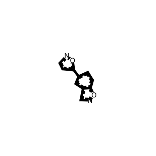 c1cc(-c2ccc3oncc3c2)on1